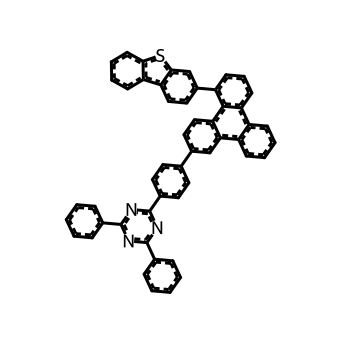 c1ccc(-c2nc(-c3ccccc3)nc(-c3ccc(-c4ccc5c(c4)c4ccccc4c4cccc(-c6ccc7c(c6)sc6ccccc67)c45)cc3)n2)cc1